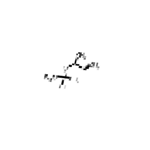 C=CC(C)OC(C)(C)C(=O)O